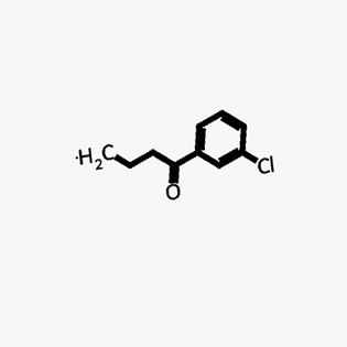 [CH2]CCC(=O)c1cccc(Cl)c1